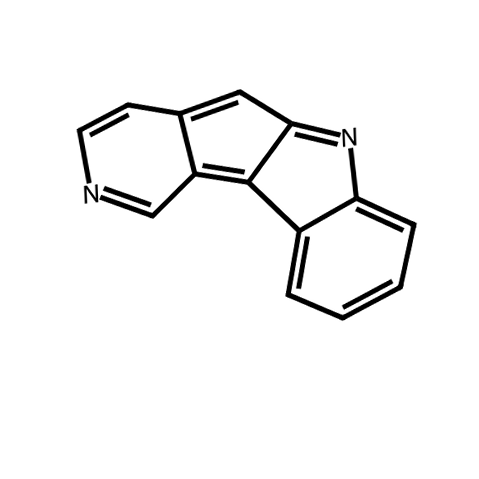 C1=c2ccncc2=C2C1=Nc1ccccc12